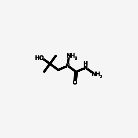 CC(C)(O)CN(N)C(=O)NN